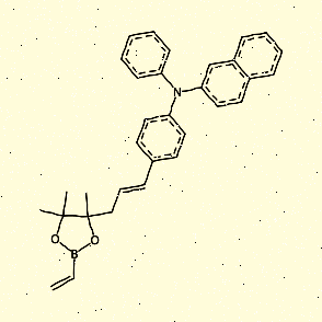 C=CB1OC(C)(C)C(C)(C/C=C/c2ccc(N(c3ccccc3)c3ccc4ccccc4c3)cc2)O1